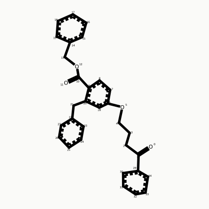 O=C(CCCOc1ccc(C(=O)OCc2ccccc2)c(Cc2ccccc2)c1)c1ccccc1